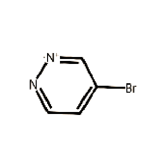 BrC1=CC=N[N+]=C1